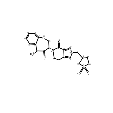 CC1C(=O)[C@@H](N2CCc3cn(CC4CCS(=O)(=O)C4)nc3C2=O)COc2ccccc21